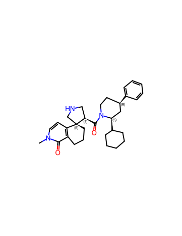 Cn1ccc2c(c1=O)CCC[C@]21CNC[C@H]1C(=O)N1CC[C@@H](c2ccccc2)C[C@H]1C1CCCCC1